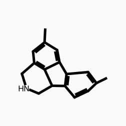 Cc1ccc2c(c1)-c1cc(C)cc3c1C2CNC3